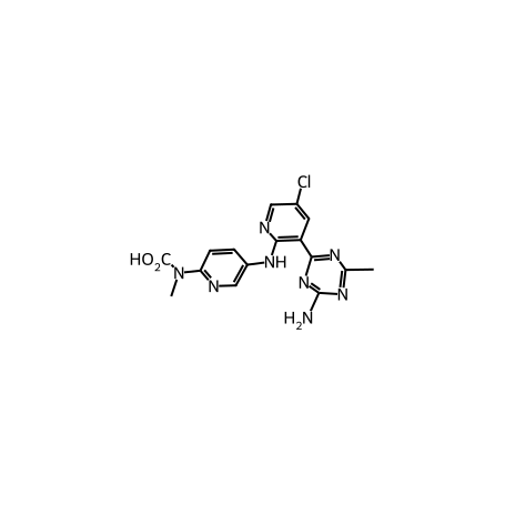 Cc1nc(N)nc(-c2cc(Cl)cnc2Nc2ccc(N(C)C(=O)O)nc2)n1